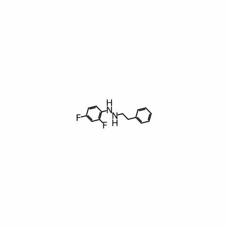 Fc1ccc(NNCCc2ccccc2)c(F)c1